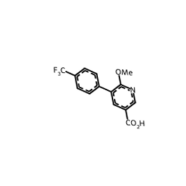 COc1ncc(C(=O)O)cc1-c1ccc(C(F)(F)F)cc1